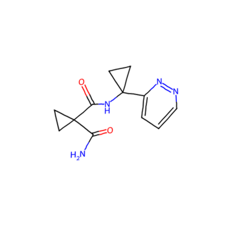 NC(=O)C1(C(=O)NC2(c3cccnn3)CC2)CC1